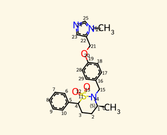 C[C@H]1CCC(c2ccccc2)S(=O)(=O)N1Cc1ccc(OCc2cncn2C)cc1